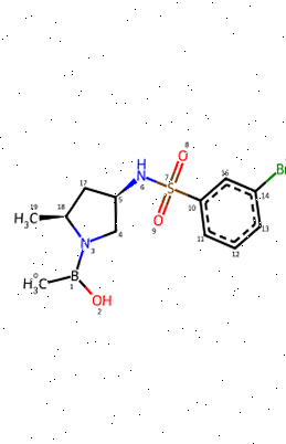 CB(O)N1C[C@H](NS(=O)(=O)c2cccc(Br)c2)C[C@@H]1C